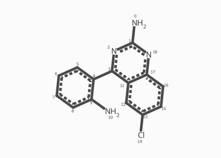 Nc1nc(-c2ccccc2N)c2cc(Cl)ccc2n1